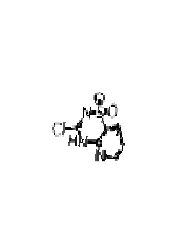 O=S1(=O)N=C(Cl)Nc2ncccc21